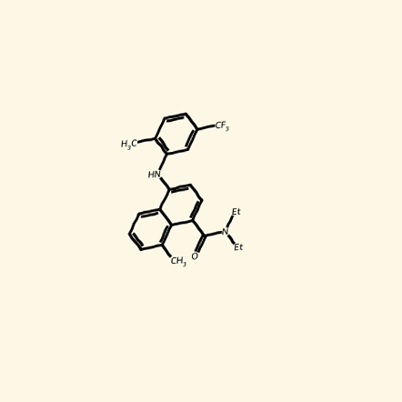 CCN(CC)C(=O)c1ccc(Nc2cc(C(F)(F)F)ccc2C)c2cccc(C)c12